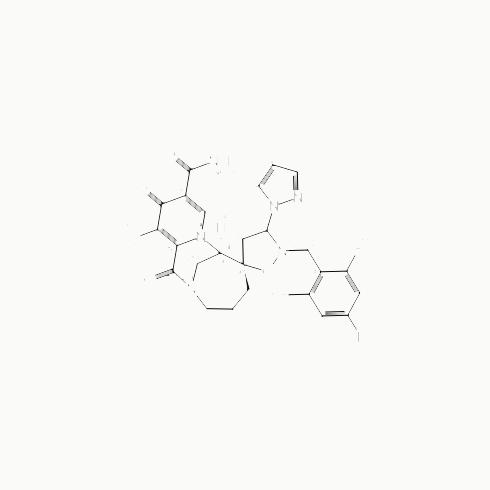 C[C@H]1CC[C@]2(CC(n3cccn3)N(Cc3c(F)cc(F)cc3F)O2)[C@H]2CN1C(=O)c1c(O)c(=O)c(C(N)=O)cn12